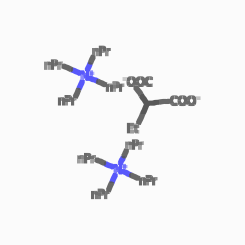 CCC(C(=O)[O-])C(=O)[O-].CCC[N+](CCC)(CCC)CCC.CCC[N+](CCC)(CCC)CCC